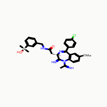 COc1ccc2c(c1)C(c1ccc(Cl)cc1)=N[C@@H](CC(=O)NCc1cccc([Si](C)(C)O)c1)C(=N)N2C(C)=N